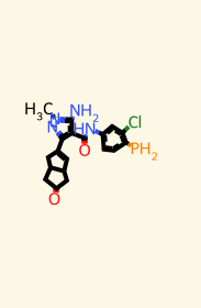 Cn1nc(C2=CC3CC(=O)CC3C2)c(C(=O)Nc2ccc(P)c(Cl)c2)c1N